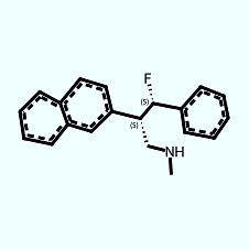 CNC[C@H](c1ccc2ccccc2c1)[C@H](F)c1ccccc1